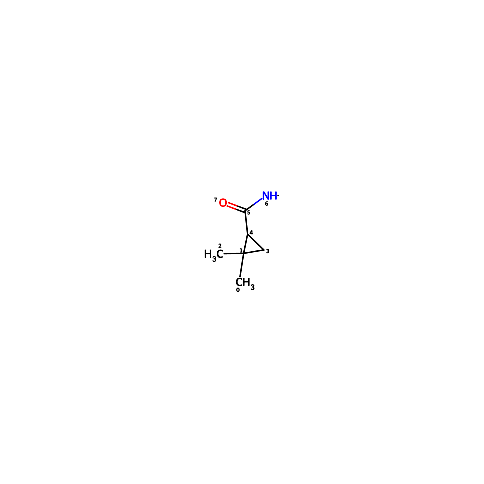 CC1(C)CC1C([NH])=O